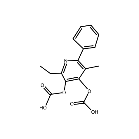 CCc1nc(-c2ccccc2)c(C)c(OC(=O)O)c1OC(=O)O